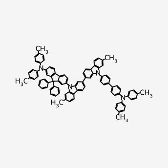 Cc1ccc(N(c2ccc(C)cc2)c2ccc(-c3ccc(-n4c5cc(C)ccc5c5ccc(-c6ccc7c8ccc(C)cc8n(-c8ccc9c(c8)C(c8ccccc8)(c8ccccc8)c8cc(N(c%10ccc(C)cc%10)c%10ccc(C)cc%10)ccc8-9)c7c6)cc54)cc3)cc2)cc1